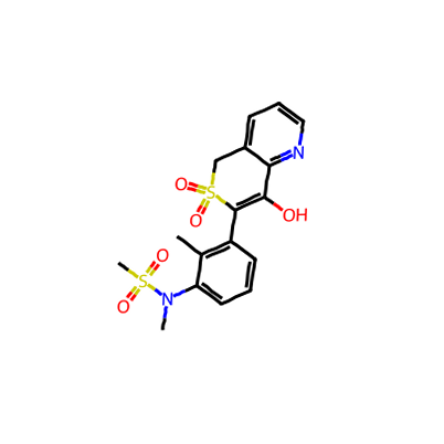 Cc1c(C2=C(O)c3ncccc3CS2(=O)=O)cccc1N(C)S(C)(=O)=O